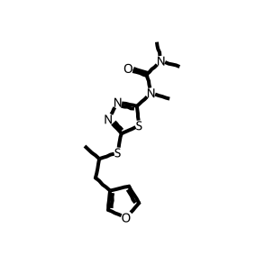 CC(Cc1ccoc1)Sc1nnc(N(C)C(=O)N(C)C)s1